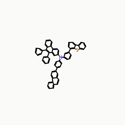 c1ccc(-c2c(-c3ccccc3)c3cc(N(c4ccc(-c5ccc6c(ccc7ccccc76)c5)cc4)c4cccc(-c5cccc6c5sc5ccccc56)c4)ccc3c3ccccc23)cc1